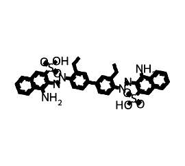 CCc1cc(-c2ccc(/N=N/c3c(S(=O)(=O)O)cc4ccccc4c3N)c(CC)c2)ccc1/N=N/c1c(S(=O)(=O)O)cc2ccccc2c1N